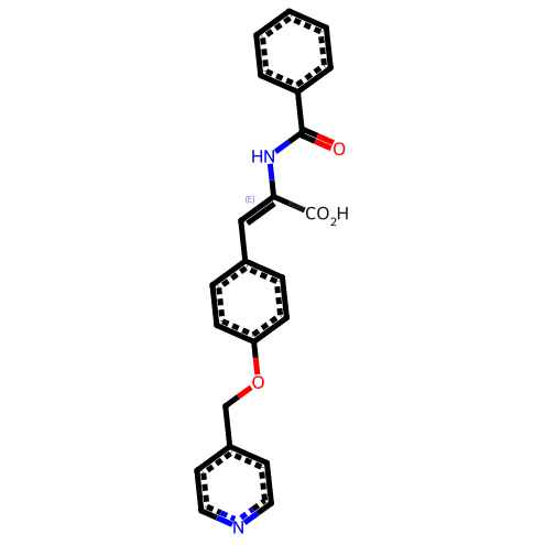 O=C(O)/C(=C\c1ccc(OCc2ccncc2)cc1)NC(=O)c1ccccc1